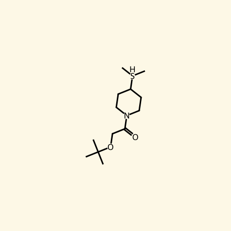 C[SH](C)C1CCN(C(=O)COC(C)(C)C)CC1